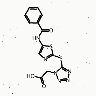 O=C(O)Cn1nnnc1Sc1ncc(NC(=O)c2ccccc2)s1